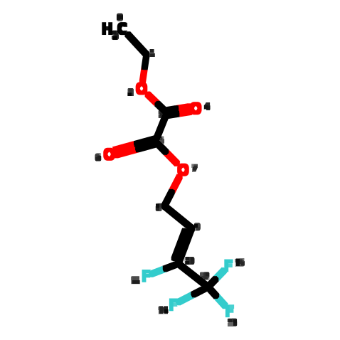 CCOC(=O)C(=O)OC/C=C(\F)C(F)(F)F